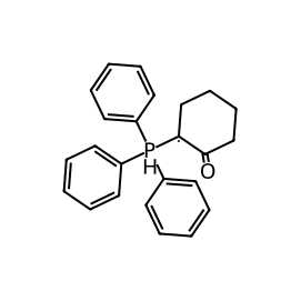 O=C1CCCC[C]1[PH](c1ccccc1)(c1ccccc1)c1ccccc1